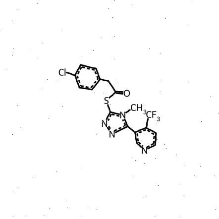 Cn1c(SC(=O)Cc2ccc(Cl)cc2)nnc1-c1cnccc1C(F)(F)F